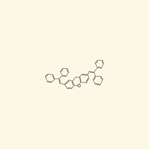 C(=C(c1ccccc1)c1ccccc1)c1ccc2c(c1)Cc1cc(C=C(c3ccccc3)c3ccccc3)ccc1O2